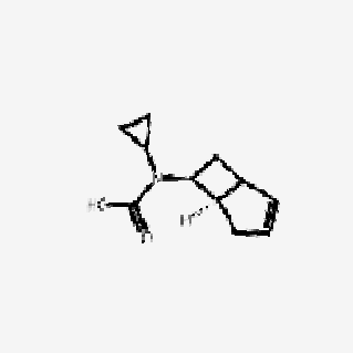 O=C(O)N(C1CC1)[C@H]1CC2C=CC[C@H]21